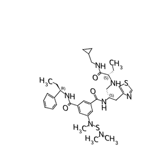 CC[C@H](NC[C@H](Cc1cscn1)NC(=O)c1cc(C(=O)N[C@H](CC)c2ccccc2)cc(N(C)SN(C)C)c1)C(=O)NCC1CC1